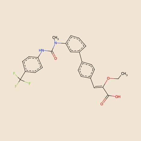 CCO/C(=C\c1ccc(-c2cccc(N(C)C(=O)Nc3ccc(C(F)(F)F)cc3)c2)cc1)C(=O)O